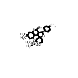 CC(C)c1nc2c(c3c1[C@@H](c1ccc(C(F)(F)F)cc1)OC31CCOCC1)[C@@H](O[Si](C)(C)C(C)(C)C)CC(C)(C)C2